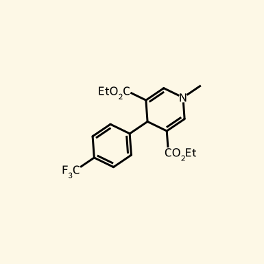 CCOC(=O)C1=CN(C)C=C(C(=O)OCC)C1c1ccc(C(F)(F)F)cc1